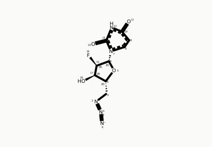 [N-]=[N+]=NC[C@H]1O[C@@H](n2ccc(=O)[nH]c2=O)[C@H](F)[C@@H]1O